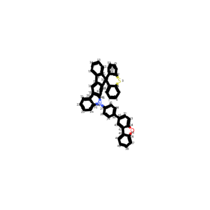 C1=CC2Sc3ccccc3C3(c4ccccc4-c4cc5c6ccccc6n(-c6ccc(-c7ccc8oc9ccccc9c8c7)cc6)c5cc43)C2C=C1